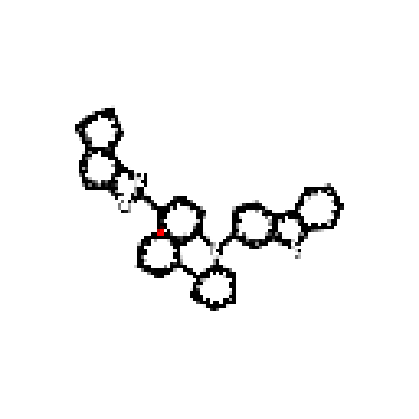 c1ccc(-c2ccccc2N(c2ccc(-c3nc4c(ccc5ccccc54)o3)cc2)c2ccc3c(c2)sc2ccccc23)cc1